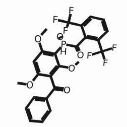 COc1cc(OC)c([PH](=O)C(=O)c2c(C(F)(F)F)cccc2C(F)(F)F)c(OC)c1C(=O)c1ccccc1